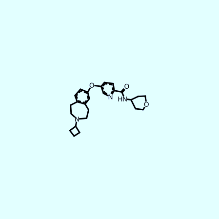 O=C(NC1CCOCC1)c1ccc(Oc2ccc3c(c2)CCN(C2CCC2)CC3)cn1